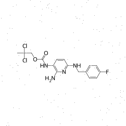 CC(Cl)(Cl)COC(=O)Nc1ccc(NCc2ccc(F)cc2)nc1N